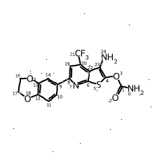 NC(=O)Oc1sc2nc(-c3ccc4c(c3)OCCO4)cc(C(F)(F)F)c2c1N